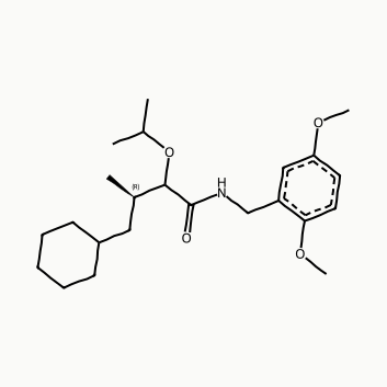 COc1ccc(OC)c(CNC(=O)C(OC(C)C)[C@H](C)CC2CCCCC2)c1